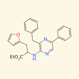 CCOC(=O)C(Cc1ccco1)Nc1ncc(-c2ccccc2)nc1Cc1ccccc1